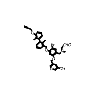 C#CCOc1cccc(-c2cccc(COc3cc(OCc4cncc(C#N)c4)c(CN(C)CC=O)cc3Br)c2C)c1C